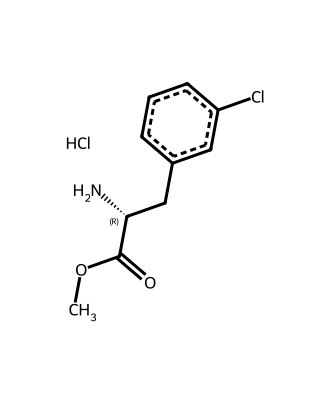 COC(=O)[C@H](N)Cc1cccc(Cl)c1.Cl